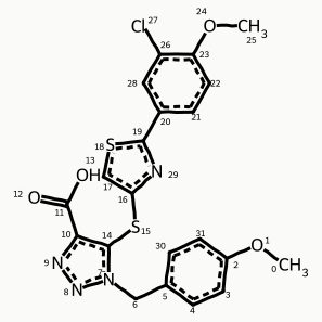 COc1ccc(Cn2nnc(C(=O)O)c2Sc2csc(-c3ccc(OC)c(Cl)c3)n2)cc1